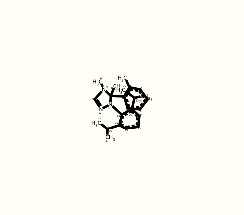 Cc1ccccc1C1(C)N(C)C=NN1c1c(C(C)C)cccc1C(C)C